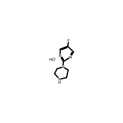 Cl.Fc1cnc(N2CCNCC2)nc1